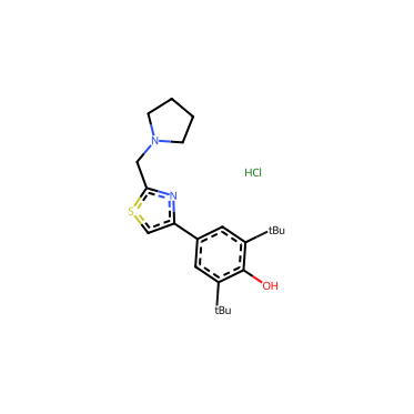 CC(C)(C)c1cc(-c2csc(CN3CCCC3)n2)cc(C(C)(C)C)c1O.Cl